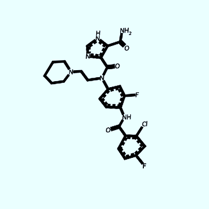 NC(=O)c1[nH]cnc1C(=O)N(CCN1CCCCC1)c1ccc(NC(=O)c2ccc(F)cc2Cl)c(F)c1